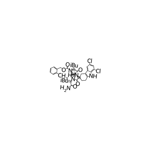 CCC(C)[C@H](NC(=O)[C@@]1(NC(=O)[C@@H](NC(=O)OCc2ccccc2C)C(C)CC)CCc2[nH]c3c(Cl)cc(Cl)cc3c2C1)C(N)=O